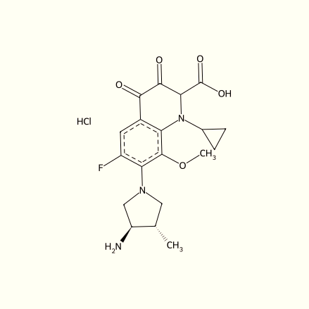 COc1c(N2C[C@H](C)[C@@H](N)C2)c(F)cc2c1N(C1CC1)C(C(=O)O)C(=O)C2=O.Cl